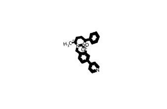 C[C@H]1CCC(c2ccccc2)S(=O)(=O)N1Cc1ccc(-c2ccncc2)cc1F